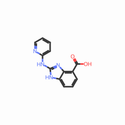 O=C(O)c1cccc2[nH]c(Nc3ccccn3)nc12